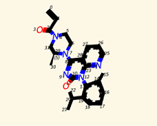 C=CC(=O)N1CCN(c2nc(=O)n(-c3c(C)cccc3C(C)C)c3ncccc23)[C@@H](C)C1